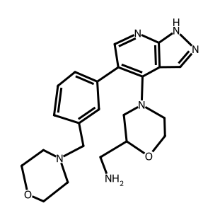 NCC1CN(c2c(-c3cccc(CN4CCOCC4)c3)cnc3[nH]ncc23)CCO1